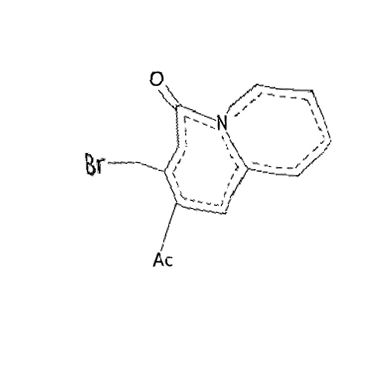 CC(=O)c1cc2ccccn2c(=O)c1Br